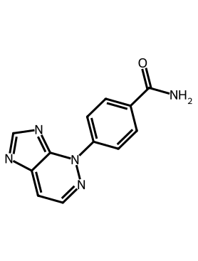 NC(=O)c1ccc(-n2nccc3ncnc2-3)cc1